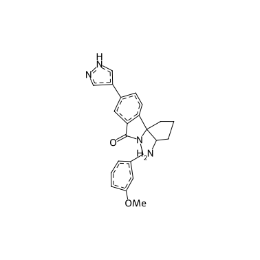 COc1cccc(CN2C(=O)c3cc(-c4cn[nH]c4)ccc3C23CCCC3N)c1